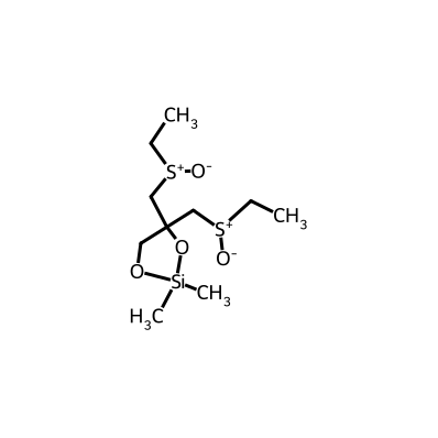 CC[S+]([O-])CC1(C[S+]([O-])CC)CO[Si](C)(C)O1